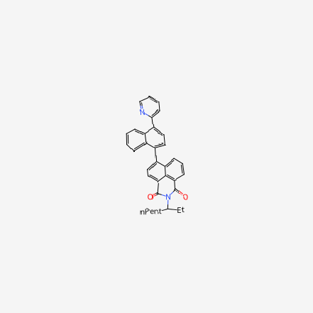 CCCCCC(CC)N1C(=O)c2cccc3c(-c4ccc(-c5ccccn5)c5ccccc45)ccc(c23)C1=O